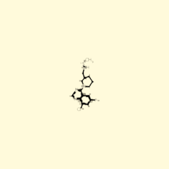 CSNCC1CCCN(c2ncnc3c(Cl)cc(F)cc23)C1